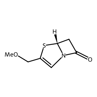 COCC1=CN2C(=O)C[C@H]2S1